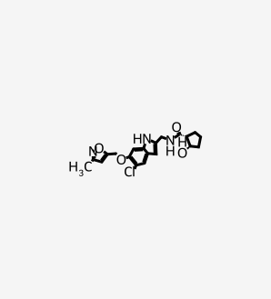 Cc1cc(COc2cc3[nH]c(CNC(=O)[C@@H]4CCC[C@H]4O)cc3cc2Cl)on1